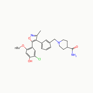 CCCCOc1cc(O)c(Cl)cc1-c1onc(C)c1-c1cccc(CN2CCC(C(N)=O)CC2)c1